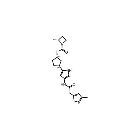 Cc1cc(CC(=O)Nc2cc([C@H]3CC[C@@H](OC(=O)N4CCC4C)C3)[nH]n2)on1